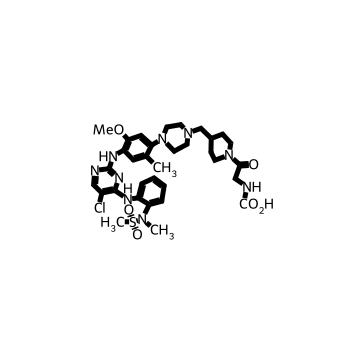 COc1cc(N2CCN(CC3CCN(C(=O)CNC(=O)O)CC3)CC2)c(C)cc1Nc1ncc(Cl)c(Nc2ccccc2N(C)S(C)(=O)=O)n1